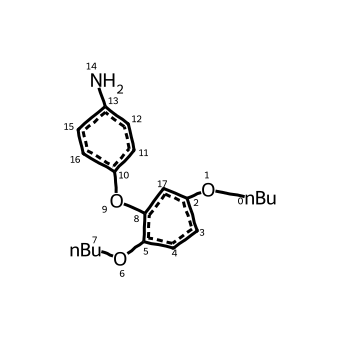 CCCCOc1ccc(OCCCC)c(Oc2ccc(N)cc2)c1